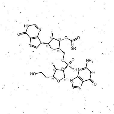 Nc1nc2c(nnn2[C@@H]2O[C@H](CCO)[C@@H](F)[C@H]2P(=O)(S)OC[C@H]2O[C@@H](n3cnc4c(=O)[nH]cnc43)[C@@H](F)[C@@H]2O[PH](=O)S)c(=O)[nH]1